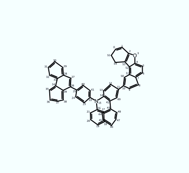 C1=Cc2oc3ccc4ccc(-c5ccc(N(c6ccccc6)c6ccc(-c7cc8ccccc8c8ccccc78)cc6)c(-c6ccccc6)c5)cc4c3c2CC1